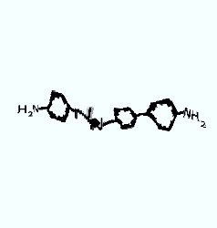 Nc1ccc(/N=N/c2ccc(-c3ccc(N)cc3)cc2)cc1